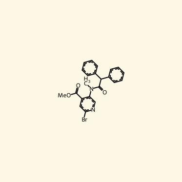 COC(=O)c1cc(Br)ncc1N(C)C(=O)C(c1ccccc1)c1ccccc1